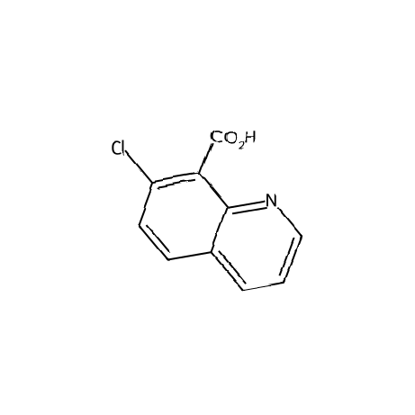 O=C(O)c1c(Cl)ccc2cccnc12